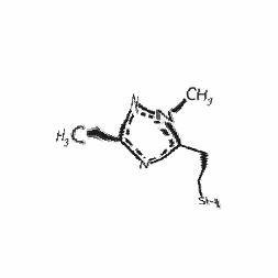 Cc1nc(CS)n(C)n1